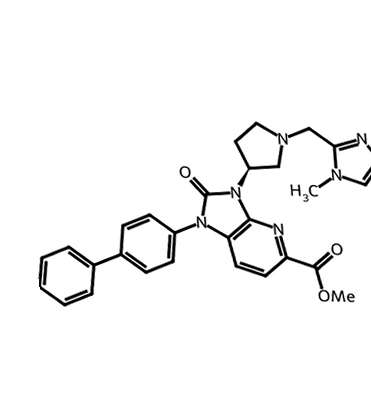 COC(=O)c1ccc2c(n1)n([C@H]1CCN(Cc3nccn3C)C1)c(=O)n2-c1ccc(-c2ccccc2)cc1